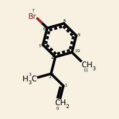 C=C[C](C)c1cc(Br)ccc1C